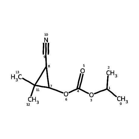 CC(C)OC(=O)OC1C(C#N)C1(C)C